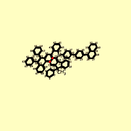 CC1(c2ccccc2)c2ccccc2-c2c(N(c3ccc(-c4ccc(-c5cccc6ccccc56)cc4)cc3)c3ccccc3-c3ccc4c(c3)c(-c3ccccc3)c(-c3ccccc3)c3ccccc34)cccc21